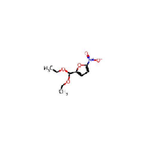 CCOC(OCC)c1ccc([N+](=O)[O-])o1